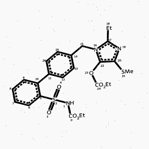 CCOC(=O)NS(=O)(=O)c1ccccc1-c1ccc(Cn2c(CC)nc(SC)c2OC(=O)OCC)cc1